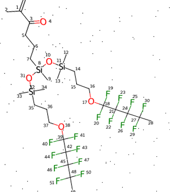 C=C(C)C(=O)CCC[Si](C)(O[Si](C)(C)CCCOC(F)(F)C(F)(F)C(F)(F)C(C)(F)F)O[Si](C)(C)CCCOC(F)(F)C(F)(F)C(F)(F)C(C)(F)F